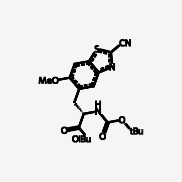 COc1cc2sc(C#N)nc2cc1C[C@H](NC(=O)OC(C)(C)C)C(=O)OCC(C)C